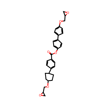 O=C(Oc1ccc(-c2ccc(OCC3CO3)cc2)cc1)c1ccc(C2CCC(OCC3CO3)CC2)cc1